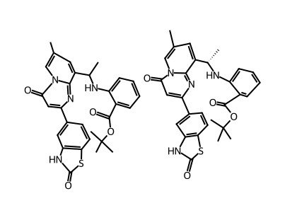 Cc1cc(C(C)Nc2ccccc2C(=O)OC(C)(C)C)c2nc(-c3ccc4sc(=O)[nH]c4c3)cc(=O)n2c1.Cc1cc([C@H](C)Nc2ccccc2C(=O)OC(C)(C)C)c2nc(-c3ccc4sc(=O)[nH]c4c3)cc(=O)n2c1